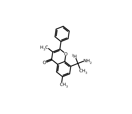 [2H]C(C)(N)c1cc(C)cc2c(=O)c(C)c(-c3ccccc3)oc12